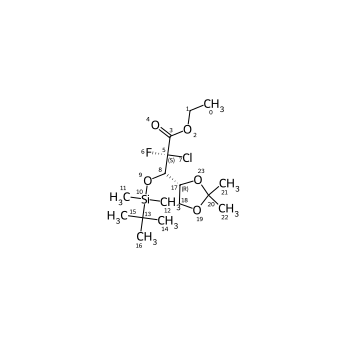 CCOC(=O)[C@@](F)(Cl)C(O[Si](C)(C)C(C)(C)C)[C@H]1COC(C)(C)O1